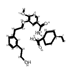 CC[C@H]1CC[C@@](NC(=O)c2cnc(OC)c(OCCc3cccc(CCO)c3)c2)(C(=O)O)CC1